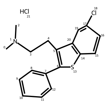 CN(C)CCc1c(-c2ccccc2)sc2ccc(Cl)cc12.Cl